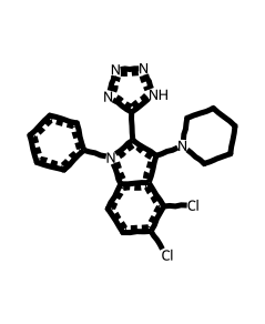 Clc1ccc2c(c1Cl)c(N1CCCCC1)c(-c1nnn[nH]1)n2-c1ccccc1